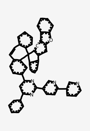 C1=Cc2ccc(-c3cc(-c4ccccc4)nc(-c4ccc(-c5cccnc5)nc4)n3)cc2C2(c3ccccc31)c1ccccc1-c1cc3oc4ccccc4c3cc12